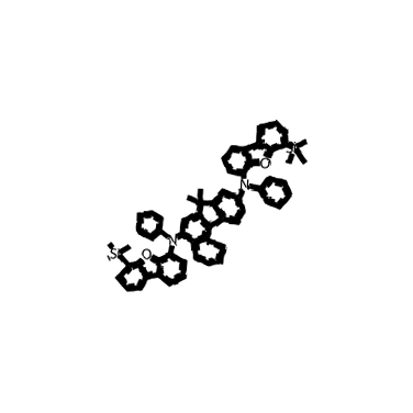 CC1(C)c2cc(N(c3ccccc3)c3cccc4c3oc3c([Si](C)(C)C)cccc34)ccc2-c2c1cc(N(c1ccccc1)c1cccc3c1oc1c([Si](C)(C)C)cccc13)c1ccccc21